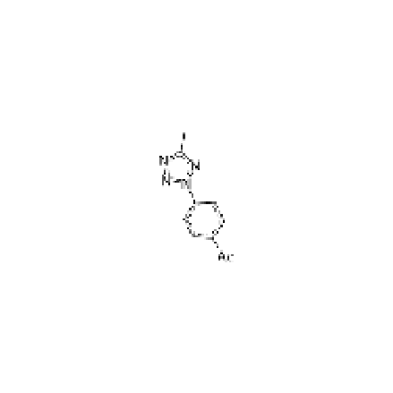 CC(=O)c1ccc(-n2nnc(C)n2)cc1